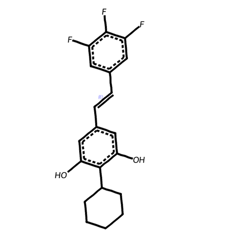 Oc1cc(/C=C/c2cc(F)c(F)c(F)c2)cc(O)c1C1CCCCC1